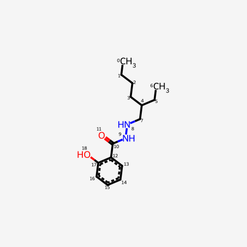 CCCCC(CC)CNNC(=O)c1ccccc1O